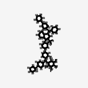 CC1(C)c2cc(-c3ccc(N(c4ccc(-c5ccccc5)cc4)c4c(F)c(F)c(F)c(F)c4F)cc3)ccc2-c2c1cc(N(c1ccccc1)c1ccc(-c3ccccc3)cc1)c1ccccc21